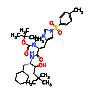 Cc1ccc(S(=O)(=O)n2cnc(C[C@@H](C(=O)N[C@@H](CC3CCCCC3)[C@@H](O)CC(C)(C)C)N(C)C(=O)OC(C)(C)C)c2)cc1